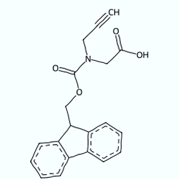 C#CCN(CC(=O)O)C(=O)OCC1c2ccccc2-c2ccccc21